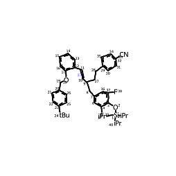 CC(C)[Si](Oc1c(F)cc(CC(/C=C/c2ccccc2OCc2ccc(C(C)(C)C)cc2)CCc2ccc(C#N)cc2)cc1F)(C(C)C)C(C)C